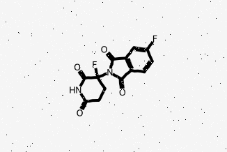 O=C1CCC(F)(N2C(=O)c3ccc(F)cc3C2=O)C(=O)N1